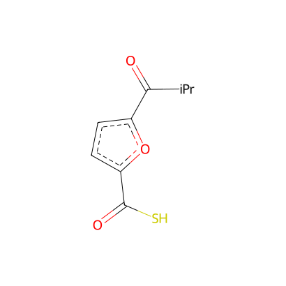 CC(C)C(=O)c1ccc(C(=O)S)o1